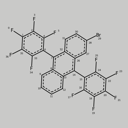 Fc1c(F)c(F)c(-c2c3ccccc3c(-c3c(F)c(F)c(F)c(F)c3F)c3cc(Br)ccc23)c(F)c1F